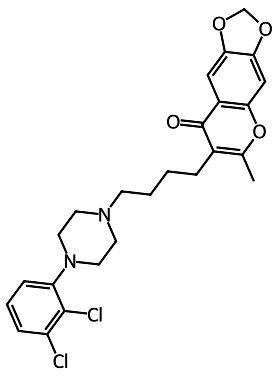 Cc1oc2cc3c(cc2c(=O)c1CCCCN1CCN(c2cccc(Cl)c2Cl)CC1)OCO3